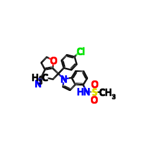 CCC(C1=C(C#N)CCO1)(c1ccc(Cl)cc1)n1ccc2c(NS(C)(=O)=O)cccc21